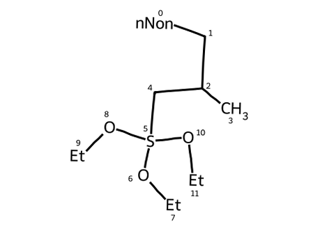 CCCCCCCCCCC(C)CS(OCC)(OCC)OCC